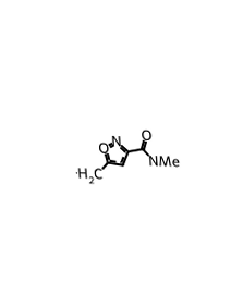 [CH2]c1cc(C(=O)NC)no1